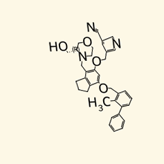 Cc1c(COc2cc(OCc3cncc(C#N)c3)c(CN3CCOC[C@H]3CO)c3c2CCC3)cccc1-c1ccccc1